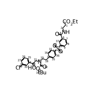 CCOC(=O)CCNC(=O)c1cccc(S(=O)(=O)c2ccc(CCN(C[C@H](O)c3cccc(Cl)c3)C(=O)OC(C)(C)C)cc2)c1